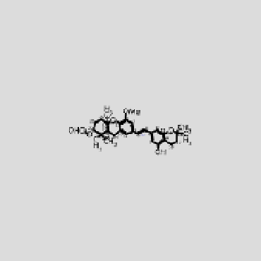 COc1cc(/C=C/c2cc(O)c3c(c2)OC(C)(C)CC3)cc2c1O[C@]1(C)CC[C@@H](OC=O)C(C)(C)[C@H]1C2